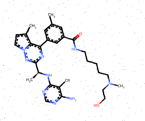 Cc1cc(C(=O)NCCCCCN(C)CCO)cc(-c2nc([C@H](C)Nc3ncnc(N)c3C#N)nn3ccc(C)c23)c1